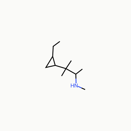 CCC1CC1C(C)(C)C(C)NC